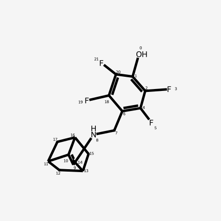 Oc1c(F)c(F)c(CNC2=C3C4CC(C2)CC3C4)c(F)c1F